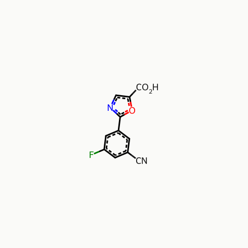 N#Cc1cc(F)cc(-c2ncc(C(=O)O)o2)c1